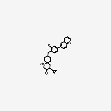 O=C1CNC2(CCC(Cc3ccc(-c4ccc5ncccc5c4)cc3F)CC2)CC1C1CC1